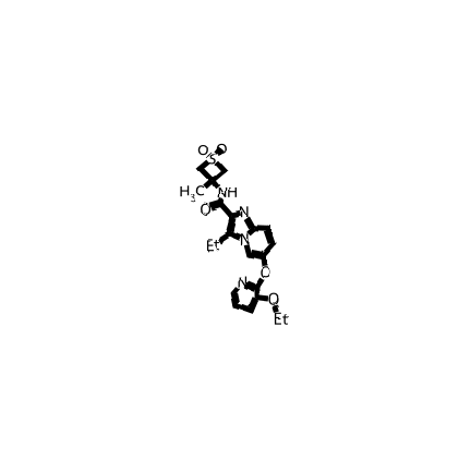 CCOc1cccnc1Oc1ccc2nc(C(=O)NC3(C)CS(=O)(=O)C3)c(CC)n2c1